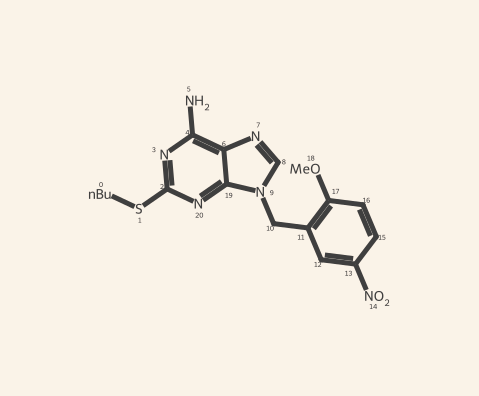 CCCCSc1nc(N)c2ncn(Cc3cc([N+](=O)[O-])ccc3OC)c2n1